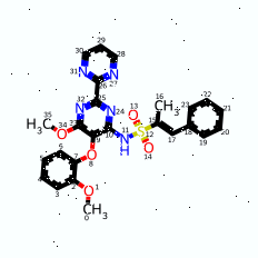 COc1ccccc1Oc1c(NS(=O)(=O)C(C)=Cc2ccccc2)nc(-c2ncccn2)nc1OC